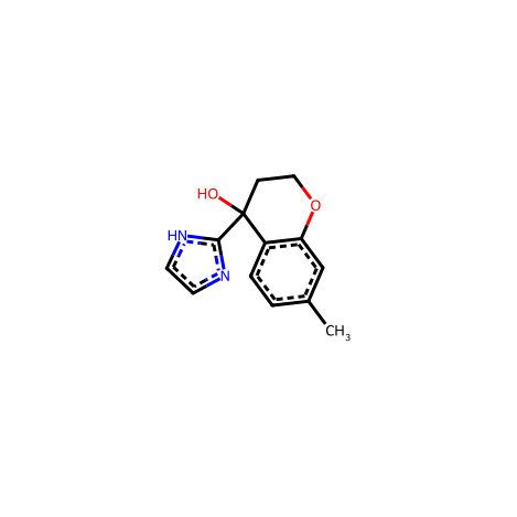 Cc1ccc2c(c1)OCCC2(O)c1ncc[nH]1